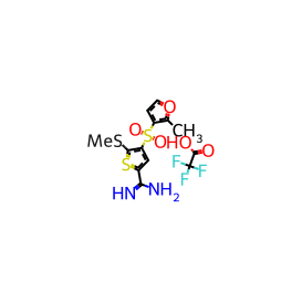 CSc1sc(C(=N)N)cc1S(=O)(=O)c1ccoc1C.O=C(O)C(F)(F)F